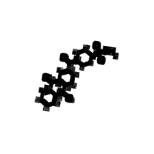 NS(=O)(=O)C1CCN(C(=O)c2ccc3c(c2)C(=O)c2ccccc2C3=O)CC1